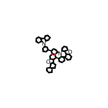 c1cc(-c2ccc(N(c3ccccc3-c3cccc4oc5c6ccccc6ccc5c34)c3cccc4oc5ccccc5c34)cc2)cc(-n2c3ccccc3c3ccccc32)c1